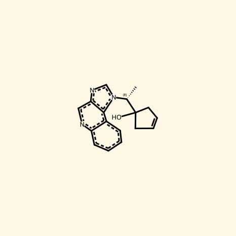 C[C@@H](n1cnc2cnc3ccccc3c21)C1(O)CC=CC1